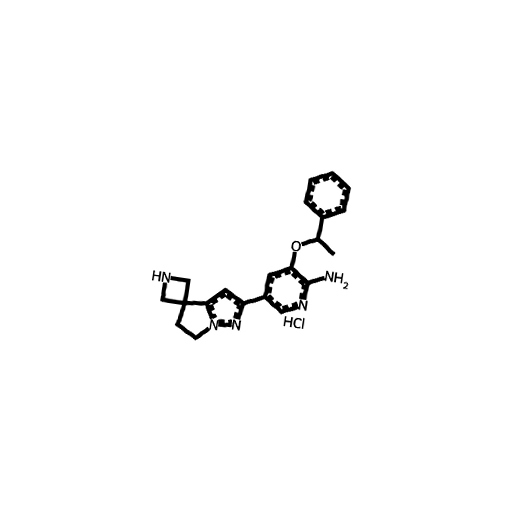 CC(Oc1cc(-c2cc3n(n2)CCC32CNC2)cnc1N)c1ccccc1.Cl